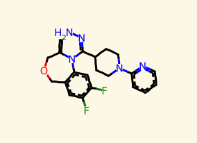 C=C1COCc2cc(F)c(F)cc2N1/C(=N\N)C1CCN(c2ccccn2)CC1